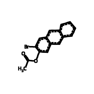 CC(=O)Oc1cc2cc3ccccc3cc2cc1Br